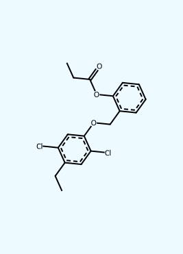 CCC(=O)Oc1ccccc1COc1cc(Cl)c(CC)cc1Cl